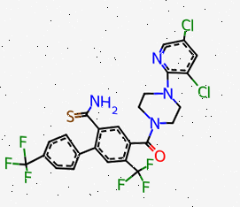 NC(=S)c1cc(C(=O)N2CCN(c3ncc(Cl)cc3Cl)CC2)c(C(F)(F)F)cc1-c1ccc(C(F)(F)F)cc1